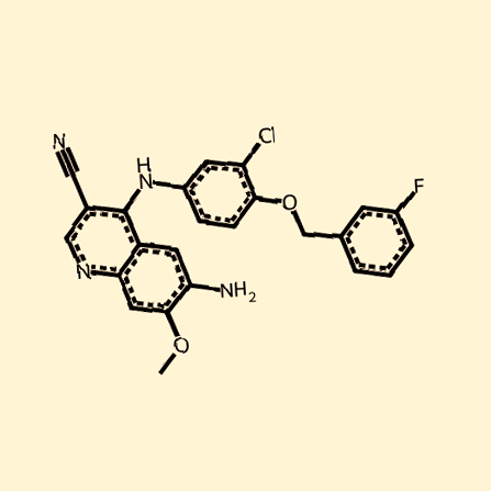 COc1cc2ncc(C#N)c(Nc3ccc(OCc4cccc(F)c4)c(Cl)c3)c2cc1N